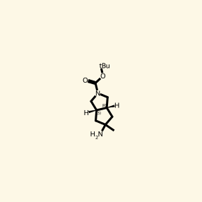 CC1(N)C[C@H]2CN(C(=O)OC(C)(C)C)C[C@H]2C1